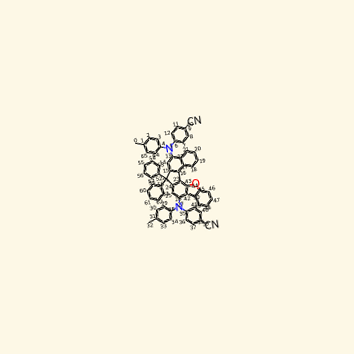 Cc1ccc(N(c2ccc(C#N)cc2)c2cc3c(c4ccccc24)-c2c(cc(N(c4ccc(C)cc4)c4ccc(C#N)cc4)c4c2oc2ccccc24)C3(c2ccccc2)c2ccccc2)cc1